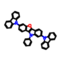 c1ccc(-n2c3cc(-n4c5ccccc5c5ccccc54)ccc3c3oc4cc(-n5c6ccccc6c6ccccc65)ccc4c32)cc1